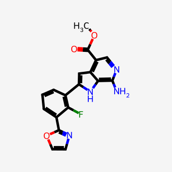 COC(=O)c1cnc(N)c2[nH]c(-c3cccc(-c4ncco4)c3F)cc12